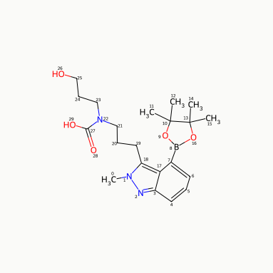 Cn1nc2cccc(B3OC(C)(C)C(C)(C)O3)c2c1CCCN(CCCO)C(=O)O